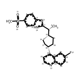 C[C@@H](c1nc2ccc(S(C)(=O)=O)cc2[nH]1)[C@H]1CC[C@@H](c2ccnc3ccc(F)cc32)CC1